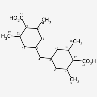 CC1CC(CC2CC(C)C(C(=O)O)C(C)C2)CC(C)C1C(=O)O